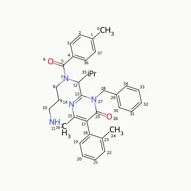 Cc1ccc(C(=O)N(CCCN)C(c2nc(C)c(-c3ccccc3C)c(=O)n2Cc2ccccc2)C(C)C)cc1